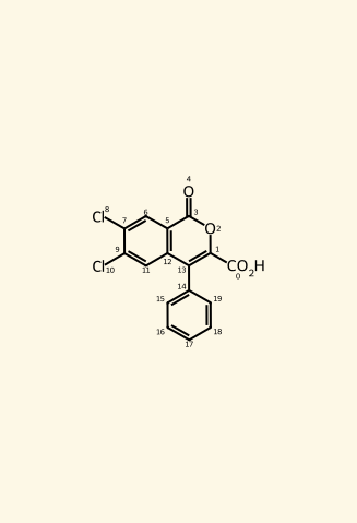 O=C(O)c1oc(=O)c2cc(Cl)c(Cl)cc2c1-c1ccccc1